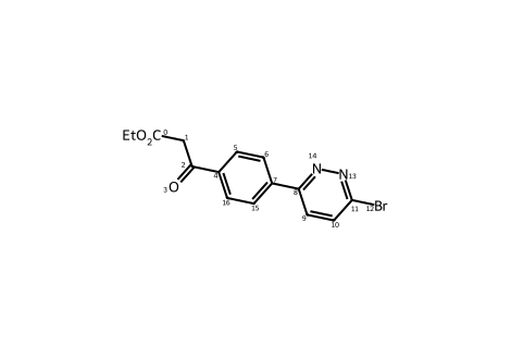 CCOC(=O)CC(=O)c1ccc(-c2ccc(Br)nn2)cc1